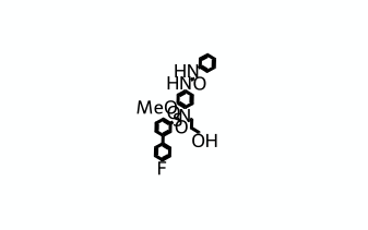 COc1cc(NC(=O)Nc2ccccc2)ccc1N(CCCO)S(=O)(=O)c1cccc(-c2ccc(F)cc2)c1